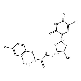 CCc1cn([C@@H]2CC(O)[C@H](CNC(=O)[C@H](C)Sc3ccc(Cl)cc3Cl)O2)c(=O)[nH]c1=O